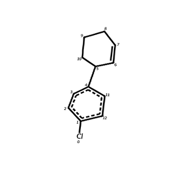 Clc1ccc(C2C=CCCC2)cc1